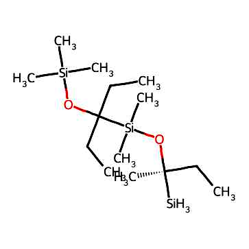 CCC(CC)(O[Si](C)(C)C)[Si](C)(C)O[C@](C)([SiH3])CC